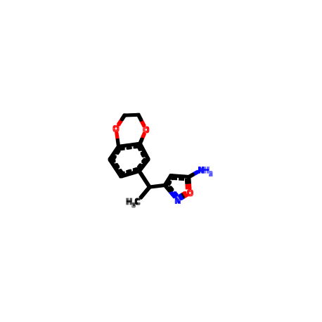 CC(c1ccc2c(c1)OCCO2)c1cc(N)on1